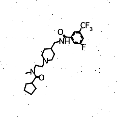 CN(CCN1CCC(CNC(=O)c2cc(F)cc(C(F)(F)F)c2)CC1)C(=O)C1CCCC1